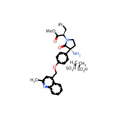 COC(=O)[C@@H](CC(C)C)N1CC[C@@](N)(c2ccc(OCc3cc(C)nc4ccccc34)cc2)C1=O.CS(=O)(=O)O.CS(=O)(=O)O